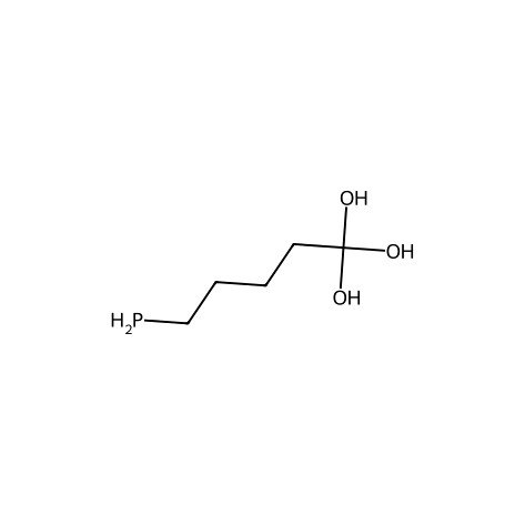 OC(O)(O)CCCCP